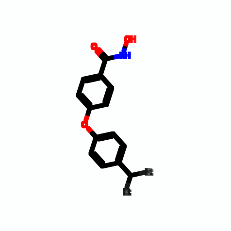 CCC(CC)c1ccc(Oc2ccc(C(=O)NO)cc2)cc1